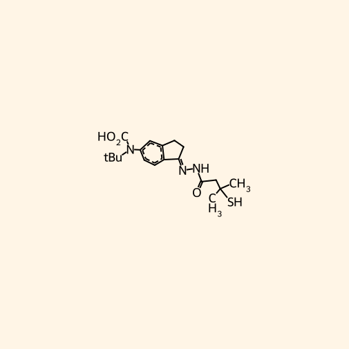 CC(C)(S)CC(=O)NN=C1CCc2cc(N(C(=O)O)C(C)(C)C)ccc21